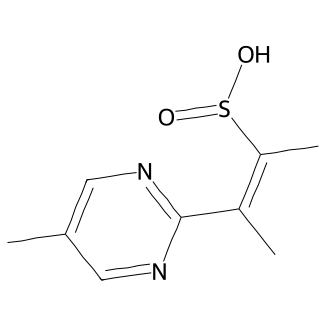 CC(=C(C)S(=O)O)c1ncc(C)cn1